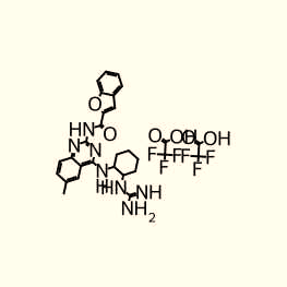 Cc1ccc2nc(NC(=O)c3cc4ccccc4o3)nc(NC3CCCCC3NC(=N)N)c2c1.O=C(O)C(F)(F)F.O=C(O)C(F)(F)F